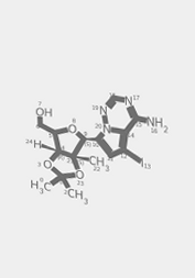 CC1(C)O[C@@H]2C(CO)O[C@@H](c3cc(I)c4c(N)ncnn34)[C@]2(C)O1